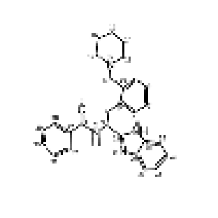 O=C(NC(Cc1ccccc1CN1CCCCC1)c1nc2ccccc2[nH]1)c1ccccc1